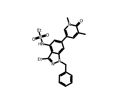 CCc1nn(Cc2ccccc2)c2cc(-c3cc(C)c(=O)n(C)c3)cc(NS(=O)(=O)CC)c12